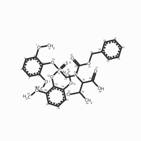 COc1cccc(OC)c1OP(=S)(CN(C(=O)OCc1ccccc1)C(C(=O)O)C(C)Cl)Oc1c(OC)cccc1OC